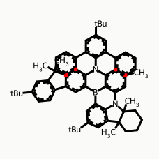 Cc1cc2c3c(c1)N1c4c(cc(C(C)(C)C)cc4C4(C)CCCCC14C)B3c1cc3c(cc1N2c1c(-c2ccccc2)cc(C(C)(C)C)cc1-c1ccccc1)C(C)(C)c1cc(C(C)(C)C)ccc1-3